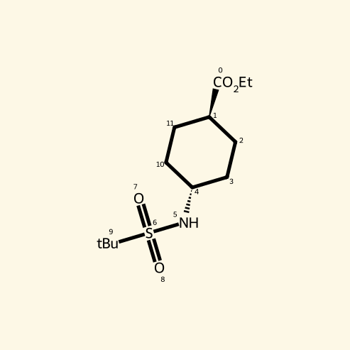 CCOC(=O)[C@H]1CC[C@H](NS(=O)(=O)C(C)(C)C)CC1